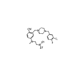 CCN(CC)CCN(C)c1ccc(C#N)c(CN2CCN(Cc3ccc(F)c(Cl)c3)CC2)c1